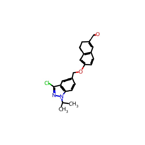 CC(C)n1nc(Cl)c2cc(COc3ccc4c(c3)CCC(C=O)=C4)ccc21